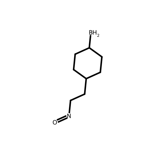 BC1CCC(CCN=O)CC1